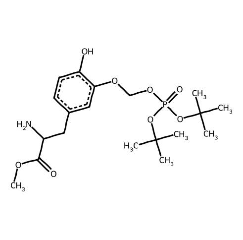 COC(=O)C(N)Cc1ccc(O)c(OCOP(=O)(OC(C)(C)C)OC(C)(C)C)c1